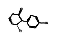 CC[C@@H]1C=CCC(=O)C1c1ccc(C#N)cc1